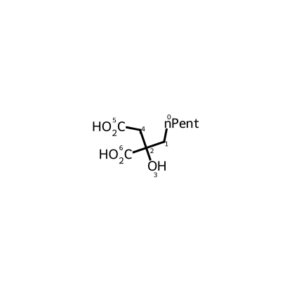 CCCCCCC(O)([CH]C(=O)O)C(=O)O